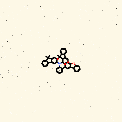 CC1(C)c2ccccc2-c2cc(N(c3ccccc3-c3ccc4oc5ccccc5c4c3)c3cccc4c3C(C)(C)c3ccccc3-4)ccc21